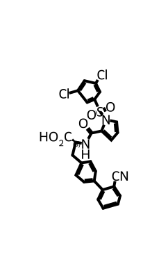 N#Cc1ccccc1-c1ccc(C[C@H](NC(=O)c2cccn2S(=O)(=O)c2cc(Cl)cc(Cl)c2)C(=O)O)cc1